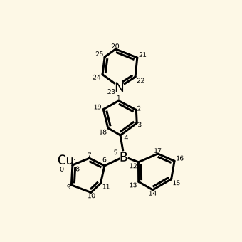 [Cu].c1ccc(B(c2ccccc2)c2ccccc2)cc1.c1ccncc1